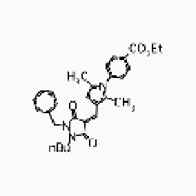 CCCCN1C(=O)C(=Cc2cc(C)n(-c3ccc(C(=O)OCC)cc3)c2C)C(=O)N1Cc1ccccc1